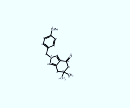 COc1ccc(Cn2cc3c(n2)CC(C)(C)CC3=O)cc1